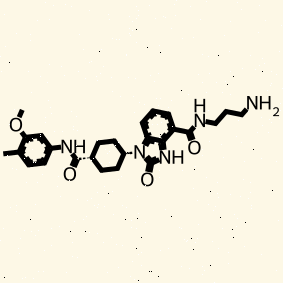 COc1cc(NC(=O)[C@H]2CC[C@@H](n3c(=O)[nH]c4c(C(=O)NCCCN)cccc43)CC2)ccc1C